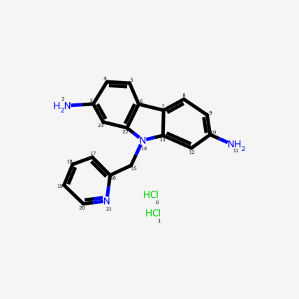 Cl.Cl.Nc1ccc2c3ccc(N)cc3n(Cc3ccccn3)c2c1